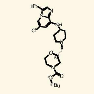 CCCCOC(=O)N1CCO[C@H](CN2CCC(Nc3cc(Cl)cn4c(C(C)C)cnc34)CC2)C1